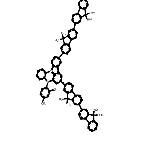 CCCCCCCCC1(CCCCCCCC)c2ccccc2-c2ccc(-c3ccc4c(c3)C(C)(C)c3cc(-c5ccc6c(c5)c5cc(-c7ccc8c(c7)C(C)(C)c7cc(-c9ccc%10c(c9)C(CCCCCCCC)(CCCCCCCC)c9ccccc9-%10)ccc7-8)cc7c5n6-c5ccccc5B7c5ccc(C)cc5C)ccc3-4)cc21